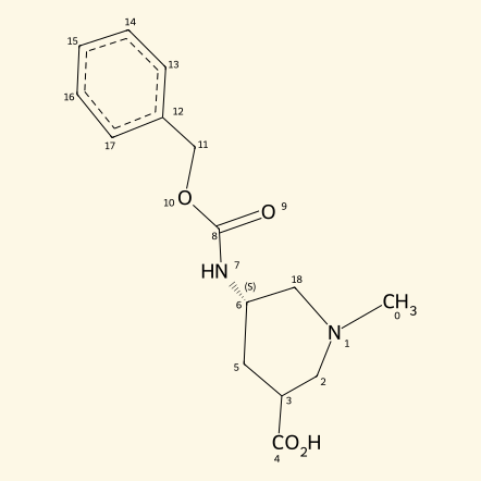 CN1CC(C(=O)O)C[C@H](NC(=O)OCc2ccccc2)C1